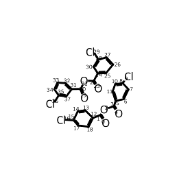 O=C(OC(=O)c1ccc(Cl)cc1)c1ccc(Cl)cc1.O=C(OC(=O)c1cccc(Cl)c1)c1cccc(Cl)c1